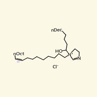 CCCCCCCC/C=C\CCCCCCCC[N+]1(C(O)CCCCCCCCCCCCC)C=NCC1.[Cl-]